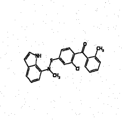 Cc1ccccc1C(=O)c1ccc(SN(C)c2cccc3cc[nH]c23)cc1Cl